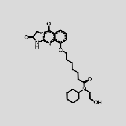 O=C1Cn2c(nc3c(OCCCCCCC(=O)N(CCO)C4CCCCC4)cccc3c2=O)N1